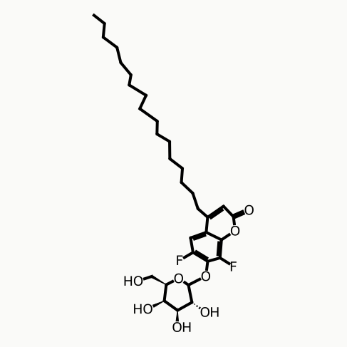 CCCCCCCCCCCCCCCCCc1cc(=O)oc2c(F)c(OC3O[C@H](CO)[C@H](O)[C@H](O)[C@H]3O)c(F)cc12